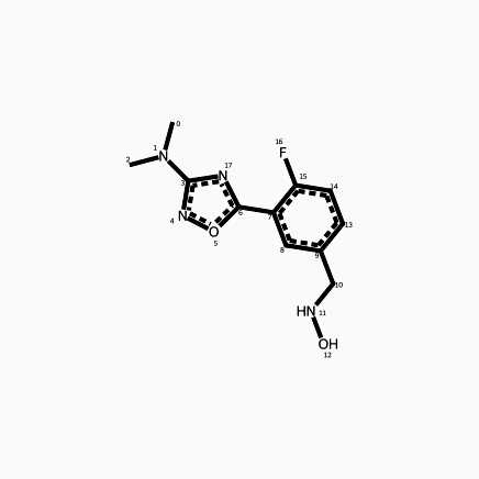 CN(C)c1noc(-c2cc(CNO)ccc2F)n1